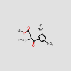 CCOC(=O)C(CC(=O)OC(C)(C)C)C(=O)c1cccc([N+](=O)[O-])c1.[H-].[Na+]